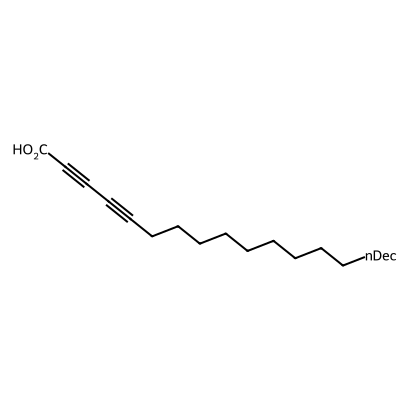 CCCCCCCCCCCCCCCCCCCC#CC#CC(=O)O